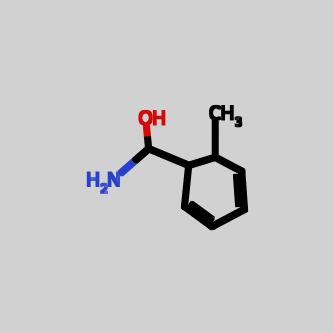 CC1C=CC=CC1C(N)O